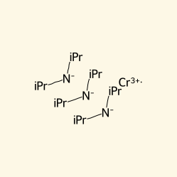 CC(C)[N-]C(C)C.CC(C)[N-]C(C)C.CC(C)[N-]C(C)C.[Cr+3]